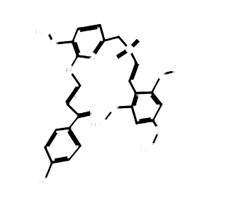 COc1cc(OC)c(/C=C/S(=O)(=O)Cc2ccc(OC)c(N/C=C/C(=O)c3ccc(Br)cc3)n2)c(OC)c1